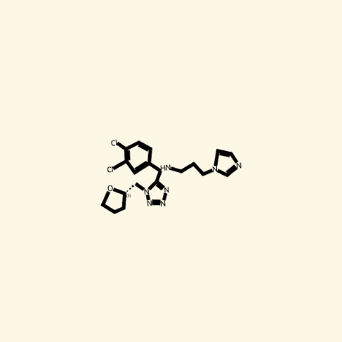 Clc1ccc(C(NCCCn2ccnc2)c2nnnn2C[C@@H]2CCCO2)cc1Cl